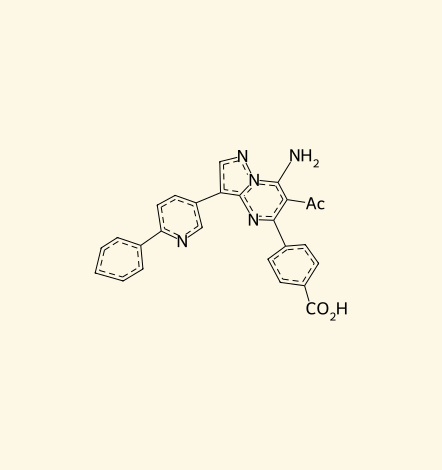 CC(=O)c1c(-c2ccc(C(=O)O)cc2)nc2c(-c3ccc(-c4ccccc4)nc3)cnn2c1N